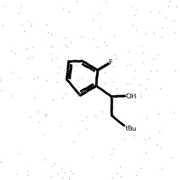 CC(C)(C)CC(O)c1ccccc1F